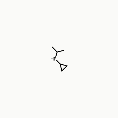 CC(C)PC1CC1